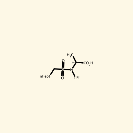 CCCCCCCCS(=O)(=O)N(CCC)[C@@H](C)C(=O)O